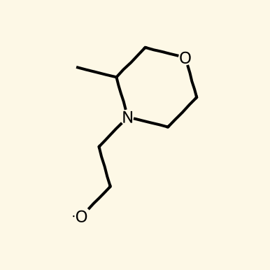 CC1COCCN1CC[O]